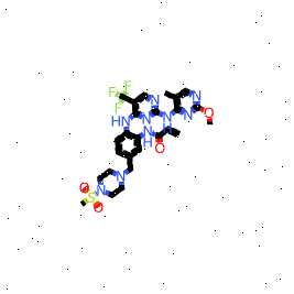 C=CC(=O)Nc1cc(CN2CCN(S(C)(=O)=O)CC2)ccc1Nc1nc(Nc2nc(OC)ncc2C)ncc1C(F)(F)F